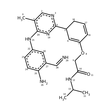 Cc1cnc(C2C=C(OCC(=O)NC(C)C)C=CC2)nc1Nc1ccc(N)c(C=N)c1